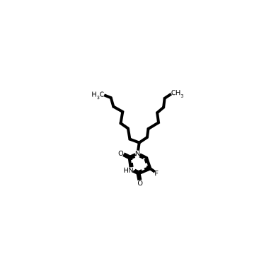 CCCCCCCC(CCCCCCC)n1cc(F)c(=O)[nH]c1=O